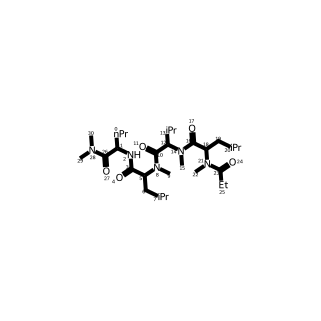 CCCC(NC(=O)C(CC(C)C)N(C)C(=O)C(C(C)C)N(C)C(=O)C(CC(C)C)N(C)C(=O)CC)C(=O)N(C)C